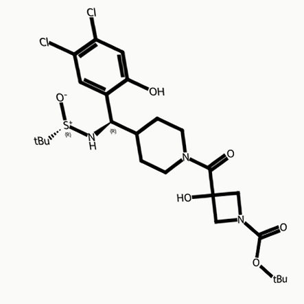 CC(C)(C)OC(=O)N1CC(O)(C(=O)N2CCC([C@@H](N[S@@+]([O-])C(C)(C)C)c3cc(Cl)c(Cl)cc3O)CC2)C1